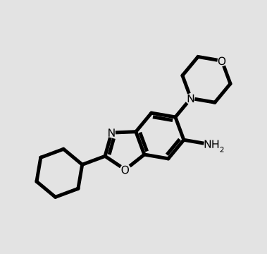 Nc1cc2oc(C3CCCCC3)nc2cc1N1CCOCC1